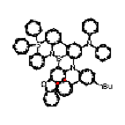 CCCCc1ccc(N2c3cc4c(cc3B3c5c(cc(N(c6ccccc6)c6ccccc6)cc52)-c2cccc5c2N3c2ccccc2S5(c2ccccc2)c2ccccc2)oc2ccccc24)c(-c2ccccc2)c1